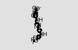 O=[N+]([O-])c1cn2c(n1)OCC(NCc1cnc(N3CCC(Nc4ccc(OC(F)(F)F)cc4)CC3)nc1)C2